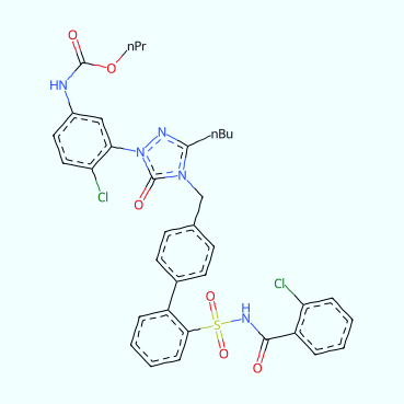 CCCCc1nn(-c2cc(NC(=O)OCCC)ccc2Cl)c(=O)n1Cc1ccc(-c2ccccc2S(=O)(=O)NC(=O)c2ccccc2Cl)cc1